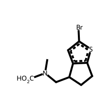 CN(CC1CCc2sc(Br)cc21)C(=O)O